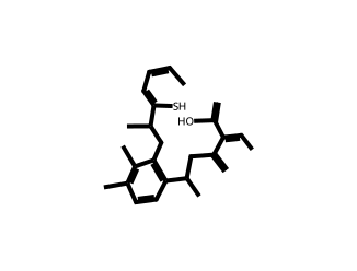 C=C(O)/C(=C/C)C(=C)CC(C)c1ccc(C)c(C)c1CC(C)/C(S)=C/C=C\C